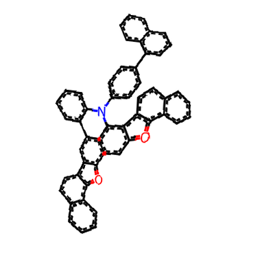 c1ccc(N(c2ccc(-c3cccc4ccccc34)cc2)c2cccc3oc4c5ccccc5ccc4c23)c(-c2ccc3oc4c5ccccc5ccc4c3c2)c1